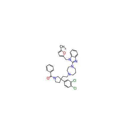 Cc1ccc(Cn2c(N3CCCN(CCC4(c5ccc(Cl)c(Cl)c5)CCN(C(=O)c5ccccc5)C4)CC3)nc3ccccc32)o1